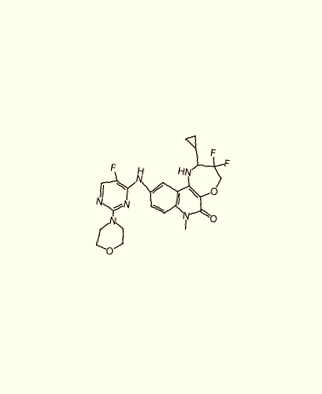 Cn1c(=O)c2c(c3cc(Nc4nc(N5CCOCC5)ncc4F)ccc31)NC(C1CC1)C(F)(F)CO2